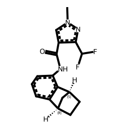 Cn1cc(C(=O)Nc2cccc3c2[C@H]2CC[C@@H]3C2)c(C(F)F)n1